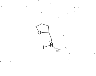 CCN(I)CC1CCCO1